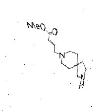 COC(=O)/C=C/CN1CCC2(CCNC2)CC1